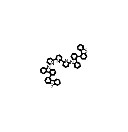 c1cc(-c2cccc(-n3c4ccccc4c4c(-c5cccc6sc7ccccc7c56)cccc43)n2)nc(-c2cccc(-n3c4ccccc4c4c(-c5cccc6sc7ccccc7c56)cccc43)n2)c1